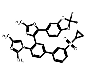 Cc1cn(-c2ccc(-c3cccc(S(=O)(=O)C4CC4)c3)cc2-c2nc(C)oc2-c2ccc3c(c2)OC(F)(F)O3)c(C)n1